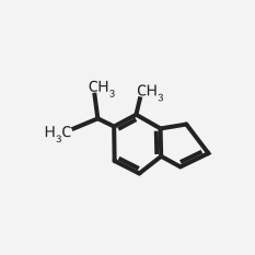 Cc1c(C(C)C)ccc2c1CC=C2